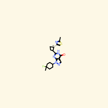 Cc1nc([C@H]2CCC2c2nc3c(cnn3C3CCC(C)(F)CC3)c(=O)[nH]2)cs1